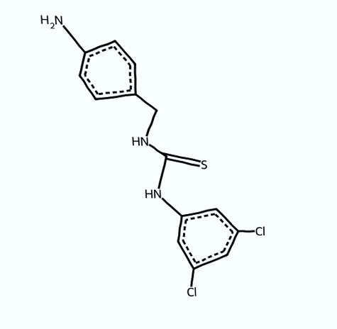 Nc1ccc(CNC(=S)Nc2cc(Cl)cc(Cl)c2)cc1